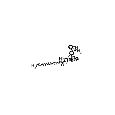 COCCOCCOCCOCCNC(=O)c1ncc(N2C[C@]3(CC[C@@](c4ccccc4)(N(C)C)CC3)N(CC3(O)CCC3)C2=O)cn1